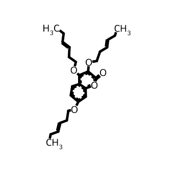 CCC=CCCOc1ccc2c(OCCC=CCC)c(OCCC=CCC)c(=O)oc2c1